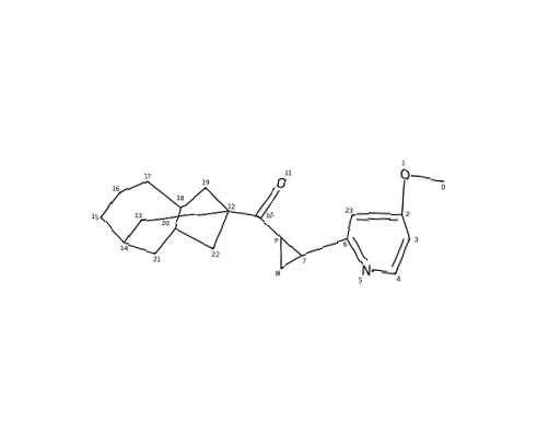 COc1ccnc(C2CC2C(=O)C23CC4CCCC(C2)C(C4)C3)c1